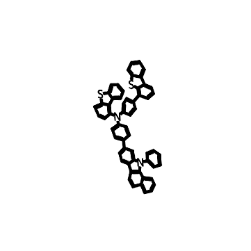 c1ccc(-n2c3cc(-c4ccc(N(c5ccc(-c6cccc7c6sc6ccccc67)cc5)c5cccc6sc7ccccc7c56)cc4)ccc3c3ccc4ccccc4c32)cc1